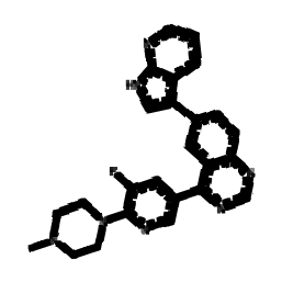 CN1CCN(c2ncc(-c3ncnc4ccc(-c5c[nH]c6ncccc56)cc34)cc2F)CC1